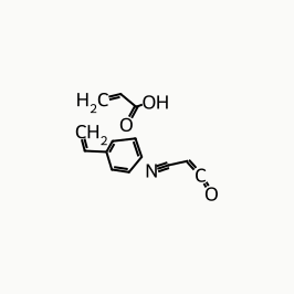 C=CC(=O)O.C=Cc1ccccc1.N#CC=C=O